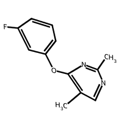 Cc1ncc(C)c(Oc2cccc(F)c2)n1